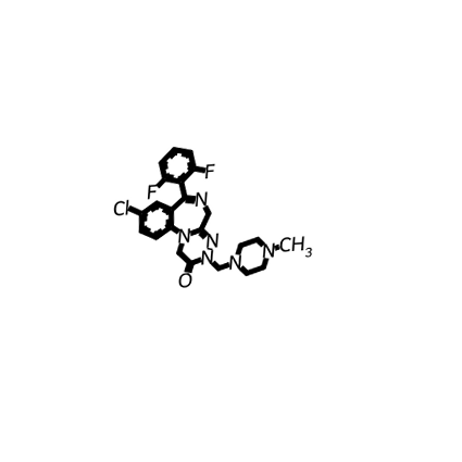 CN1CCN(CN2N=C3CN=C(c4c(F)cccc4F)c4cc(Cl)ccc4N3CC2=O)CC1